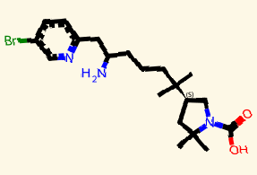 CC(C)(CCCC(N)Cc1ccc(Br)cn1)[C@H]1CN(C(=O)O)C(C)(C)C1